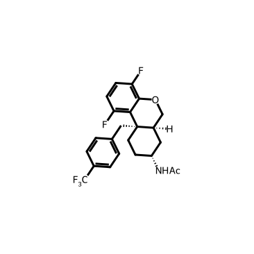 CC(=O)N[C@@H]1CC[C@@]2(Cc3ccc(C(F)(F)F)cc3)c3c(F)ccc(F)c3OC[C@H]2C1